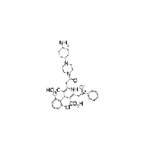 NC1CCC(N2CCN(C(=O)CC3=C(C(=O)O)C(c4c(Cl)cccc4Cl)C(C(=O)O)=C(C[S+]([O-])c4ccccc4)N3)CC2)CC1